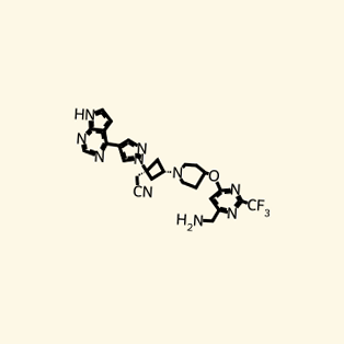 N#CC[C@]1(n2cc(-c3ncnc4[nH]ccc34)cn2)C[C@H](N2CCC(Oc3cc(CN)nc(C(F)(F)F)n3)CC2)C1